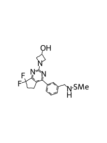 CSNCc1cccc(-c2nc(N3CC(O)C3)nc3c2CCC3(F)F)c1